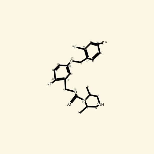 CC1CNCC(C)N1C(=O)OCc1cc(OCc2ccc(F)cc2F)ccc1F